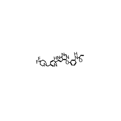 C=CC(=O)Nc1cccc(Oc2ncnc3[nH]c(-c4ccc(CN5CCC(F)(F)CC5)cn4)cc23)c1